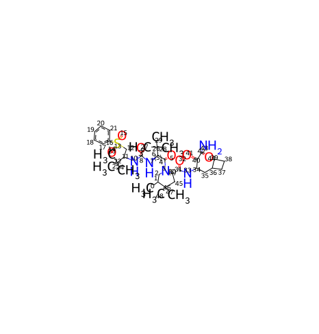 CC1CN(C(=O)[C@@H](NC(=O)NC(CS(=O)(=O)c2ccccc2)C(C)(C)C)C(C)(C)C)[C@H](C(=O)NC(CC2CCC2)C(=O)C(N)=O)CC1(C)C